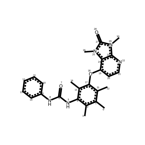 Cc1c(C)c(NC(=O)Nc2ccccc2)c(C)c(Oc2ccnc3c2n(C)c(=O)n3C)c1C